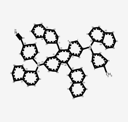 Cc1ccc(N(c2cnc3c(-c4ccc5ccccc5c4)c4cc(N(c5ccc(C#N)cc5)c5cccc6ccccc56)ccc4c(-c4ccc5ccccc5c4)c3c2)c2cccc3ccccc23)cc1